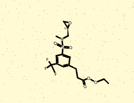 CCOOC(=O)CCc1cc(C(F)(F)F)cc(S(=O)(=O)N(C)C[C@H]2CO2)c1